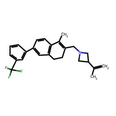 C=C(C)C1CN(CC2=C(C)c3ccc(-c4cccc(C(F)(F)F)c4)cc3CC2)C1